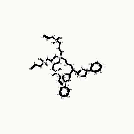 C=CC[Si](C)(C)CCC[Si](CCCC(C1=N[C@@H](c2ccccc2)CO1)C1=N[C@@H](c2ccccc2)CO1)(CCC[Si](C)(C)CC=C)CCC[Si](C)(C)CC=C